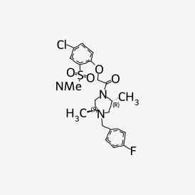 CNS(=O)(=O)c1cc(Cl)ccc1OCC(=O)N1C[C@H](C)N(Cc2ccc(F)cc2)C[C@H]1C